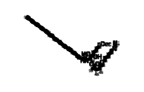 C#CC#CC#CC#CC#CC#CC#CC#CC#CC#CC#CC#CCC(=O)N[C@@H](CO[C@H]1OC(COCCCCCCN=[N+]=[N-])[C@H](C)[C@H](C)C1C)[C@H](O)[C@H](O)CCCCCCCCCCCCCC